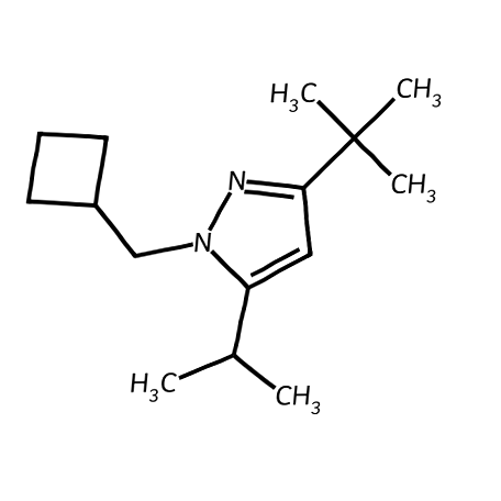 CC(C)c1cc(C(C)(C)C)nn1CC1CCC1